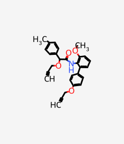 C#CCOc1ccc(-c2cccc(OC)c2NC(=O)C(OCC#C)c2ccc(C)cc2)cc1